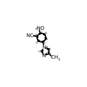 Cc1cn(-c2ccc(N=O)c(C#N)c2)cn1